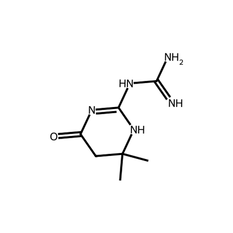 CC1(C)CC(=O)N=C(NC(=N)N)N1